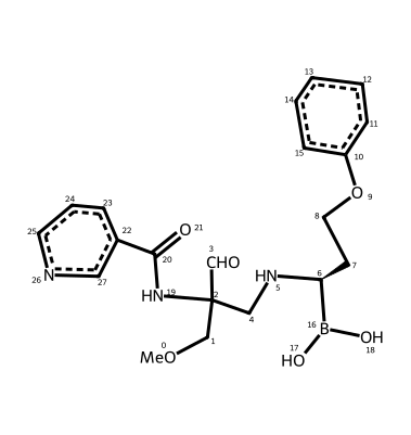 COCC(C=O)(CN[C@@H](CCOc1ccccc1)B(O)O)NC(=O)c1cccnc1